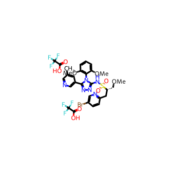 COC[C@H](Cc1ccc(Br)cn1)S(=O)(=O)Nc1nnc(-c2cncc(C)c2)n1-c1c(OC)cccc1OC.O=C(O)C(F)(F)F.O=C(O)C(F)(F)F